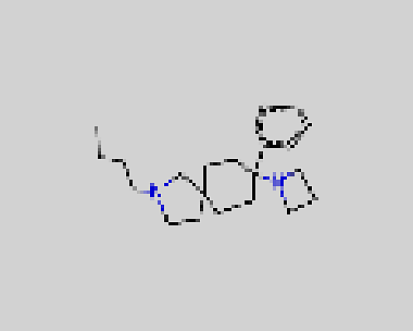 CCCCN1CCC2(CCC(c3ccccc3)(N3CCC3)CC2)C1